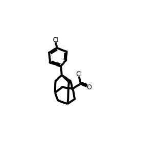 O=C(Cl)C12CC3CC(C1)CC(c1ccc(Cl)cc1)(C3)C2